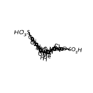 COc1cc(N=Nc2ccc(N=Nc3ccc(OCCCS(=O)(=O)O)cc3Cl)c(C)c2)c(C)cc1NC(=O)Nc1cc(C)c(N=Nc2ccc(N=Nc3ccc(OCCCS(=O)(=O)O)cc3Cl)c(C)c2)cc1OC